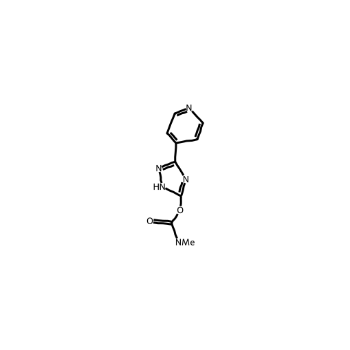 CNC(=O)Oc1nc(-c2ccncc2)n[nH]1